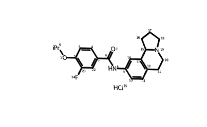 CC(C)Oc1ccc(C(=O)Nc2ccc3c(c2)C2CCCN2CC3)cc1F.Cl